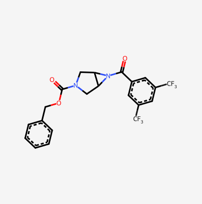 O=C(OCc1ccccc1)N1CC2C(C1)N2C(=O)c1cc(C(F)(F)F)cc(C(F)(F)F)c1